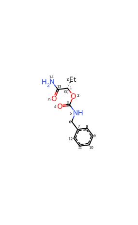 CC[C@H](OC(=O)NCc1ccccc1)C(N)=O